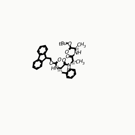 C[C@H](NC(=O)[C@H](Cc1ccccc1)NC(=O)OCC1c2ccccc2-c2ccccc21)C(=O)N[C@@H](C)C(=O)OC(C)(C)C